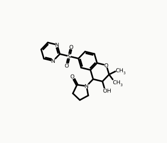 CC1(C)Oc2ccc(S(=O)(=O)c3ncccn3)cc2C(N2CCCC2=O)C1O